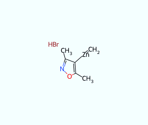 Br.[CH2]=[Zn][c]1c(C)noc1C